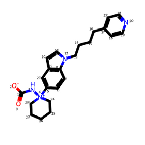 O=C([O-])N[N+]1(c2ccc3c(ccn3CCCCc3ccncc3)c2)CCCCC1